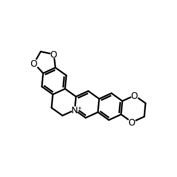 c1c2c(cc3c1OCO3)-c1cc3cc4c(cc3c[n+]1CC2)OCCO4